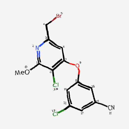 COc1nc(CBr)cc(Oc2cc(Cl)cc(C#N)c2)c1Cl